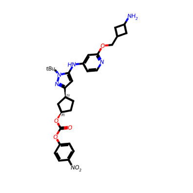 CC(C)(C)n1nc([C@H]2CC[C@@H](OC(=O)Oc3ccc([N+](=O)[O-])cc3)C2)cc1Nc1ccnc(OCC2CC(N)C2)c1